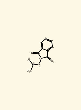 O=C1c2ccccc2C(=O)N1SC(Cl)C(Cl)(Cl)Cl